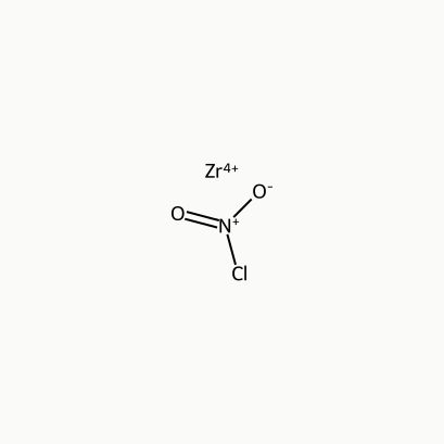 O=[N+]([O-])Cl.[Zr+4]